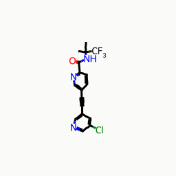 CC(C)(NC(=O)c1ccc(C#Cc2cncc(Cl)c2)cn1)C(F)(F)F